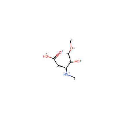 CN[C@@H](CC(=O)O)C(=O)COC